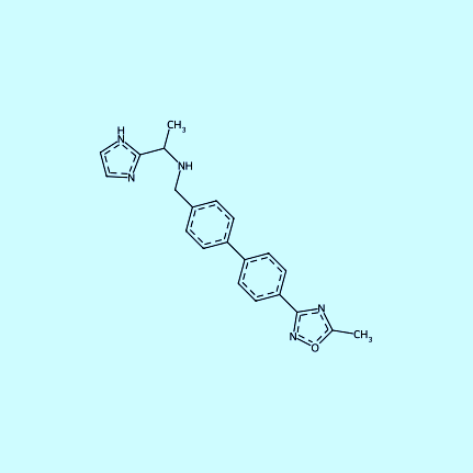 Cc1nc(-c2ccc(-c3ccc(CNC(C)c4ncc[nH]4)cc3)cc2)no1